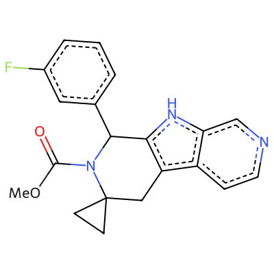 COC(=O)N1C(c2cccc(F)c2)c2[nH]c3cnccc3c2CC12CC2